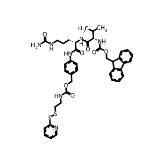 CC(C)[C@H](NC(=O)OCC1c2ccccc2-c2ccccc21)C(=O)N[C@@H](CCCNC(N)=O)C(=O)Nc1ccc(COC(=O)NCCSSc2ccccn2)cc1